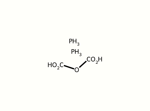 O=C(O)OC(=O)O.P.P